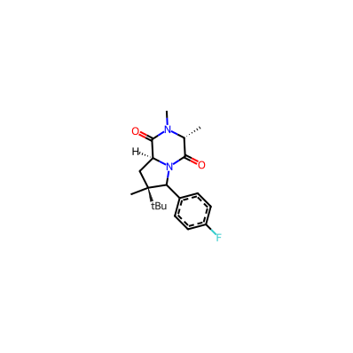 C[C@@H]1C(=O)N2C(c3ccc(F)cc3)[C@@](C)(C(C)(C)C)C[C@H]2C(=O)N1C